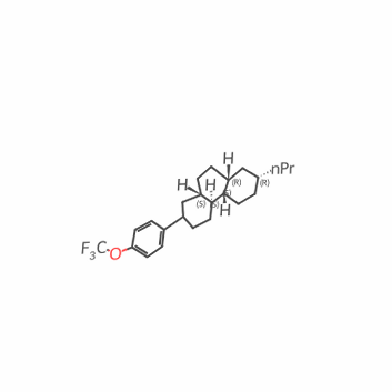 CCC[C@@H]1CC[C@H]2[C@H](CC[C@H]3CC(c4ccc(OC(F)(F)F)cc4)CC[C@@H]32)C1